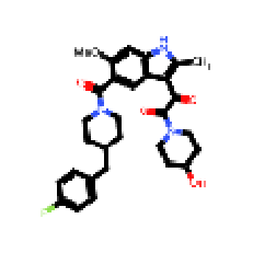 COc1cc2[nH]c(C)c(C(=O)C(=O)N3CCC(O)CC3)c2cc1C(=O)N1CCC(Cc2ccc(F)cc2)CC1